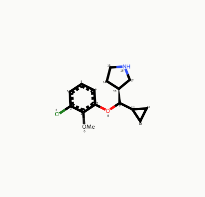 COc1c(Cl)cccc1OC(C1CC1)[C@H]1CCNC1